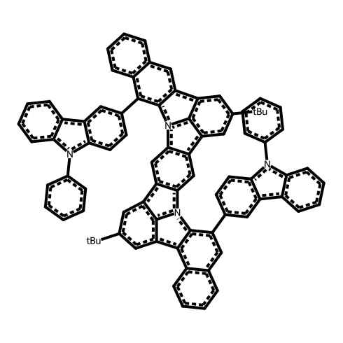 CC(C)(C)c1cc2c3cc4c(cc3n3c5c(-c6ccc7c(c6)c6ccccc6n7-c6ccccc6)c6ccccc6cc5c(c1)c23)c1cc(C(C)(C)C)cc2c3c5ccccc5cc(-c5ccc6c(c5)c5ccccc5n6-c5ccccc5)c3n4c12